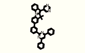 CC1(C)c2cc(-c3cccc(-c4nc(-c5ccccc5)cc(-c5ccccc5)n4)c3)ccc2-n2c1c(-c1cncnc1)c1ccccc12